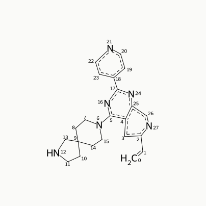 C=Cc1cc2c(N3CCC4(CCNC4)CC3)nc(-c3ccncc3)nc2cn1